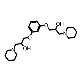 OC(COc1cccc(OCC(O)CN2CCCCC2)c1)CN1CCCCC1